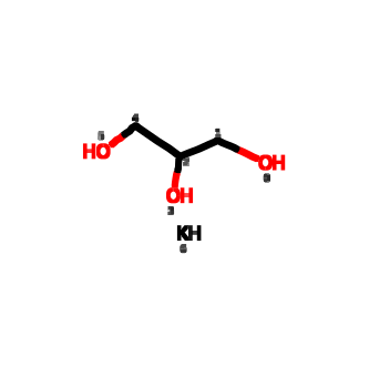 OCC(O)CO.[KH]